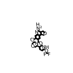 Nc1nc2cc(Cl)c(C(=O)N3CCOCC3C3=CC=C(OC(F)F)NC3)cc2c2c1COC2